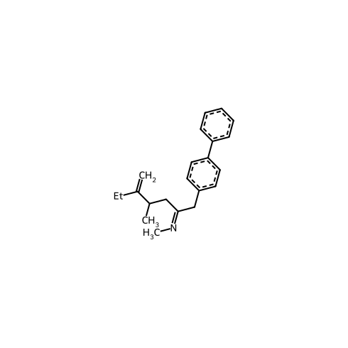 C=C(CC)C(C)C/C(Cc1ccc(-c2ccccc2)cc1)=N\C